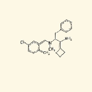 C=c1ccc(Cl)c/c1=C/N(C)C(Cc1ccccc1)C(N)=C1CCC1